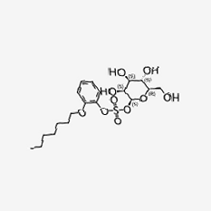 CCCCCCCOc1ccccc1OS(=O)(=O)O[C@@H]1O[C@H](CO)[C@@H](O)[C@H](O)[C@@H]1O